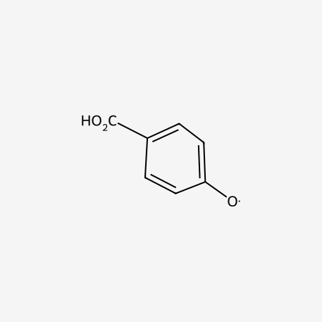 [O]c1ccc(C(=O)O)cc1